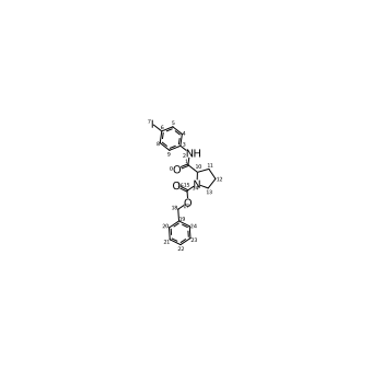 O=C(Nc1ccc(I)cc1)C1CCCN1C(=O)OCc1ccccc1